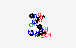 CCOC(=O)c1c(=O)c2cnc(Cl)nc2n2c1[nH]c1ccccc12.CN1CCCN(c2ncc3c(=O)c(C(=O)O)c4[nH]c5ccccc5n4c3n2)CC1